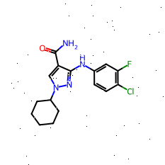 NC(=O)c1cn(C2CCCCC2)nc1Nc1ccc(Cl)c(F)c1